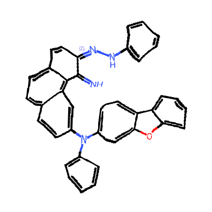 N=C1/C(=N\Nc2ccccc2)C=Cc2ccc3ccc(N(c4ccccc4)c4ccc5c(c4)oc4ccccc45)cc3c21